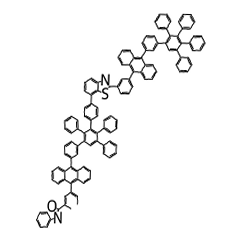 C/C=C(\C=C(/C)c1nc2ccccc2o1)c1c2ccccc2c(-c2cccc(-c3cc(-c4ccccc4)c(-c4ccccc4)c(-c4ccc(-c5cccc6nc(-c7cccc(-c8c9ccccc9c(-c9cccc(-c%10cc(-c%11ccccc%11)c(-c%11ccccc%11)c(-c%11ccccc%11)c%10-c%10ccccc%10)c9)c9ccccc89)c7)sc56)cc4)c3-c3ccccc3)c2)c2ccccc12